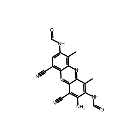 Cc1c(NC=O)cc(C#N)c2nc3c(C#N)c(N)c(NC=O)c(C)c3nc12